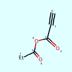 C#CC(=O)OC(=O)CC